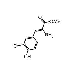 COC(=O)C(N)=Cc1ccc(O)c(Cl)c1